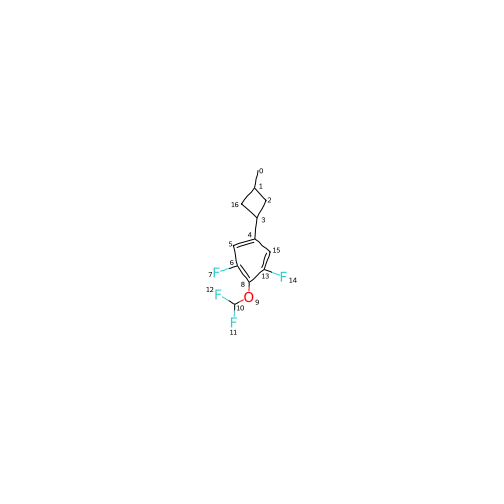 CC1CC(c2cc(F)c(OC(F)F)c(F)c2)C1